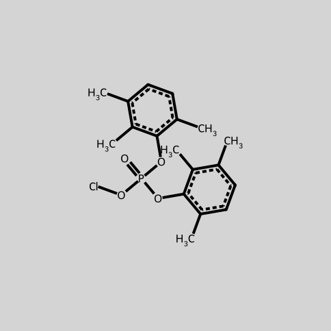 Cc1ccc(C)c(OP(=O)(OCl)Oc2c(C)ccc(C)c2C)c1C